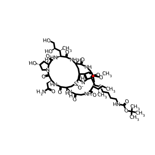 CC[C@H](C)[C@@H]1CC(=O)CNC(=O)[C@@H]2Cc3c([nH]c4c(CSCCCCNC(=O)OC(C)(C)C)c(OC)ccc34)[S+]([O-])C[C@H](NC(=O)CNC1=O)C(=O)N[C@@H](CC(N)=O)C(=O)N1C[C@H](O)C[C@H]1C(=O)N[C@@H]([C@@H](C)[C@@H](O)CO)C(=O)N2